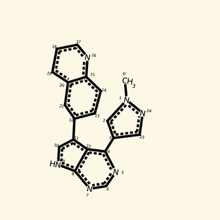 Cn1cc(-c2ncnc3[nH]cc(-c4ccc5ncccc5c4)c23)cn1